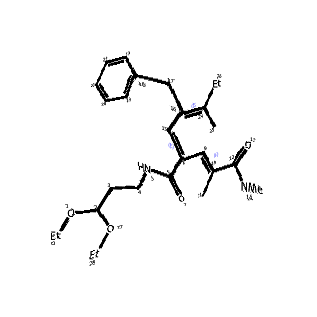 CCOC(CCNC(=O)C(/C=C(\C)C(=O)NC)=C/C(Cc1ccccc1)=C(\C)CC)OCC